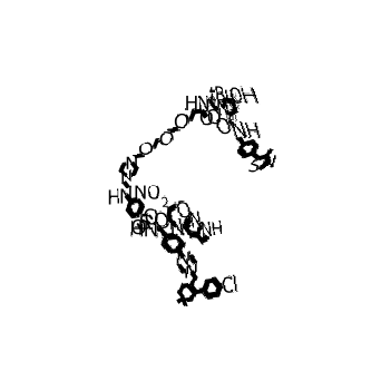 Cc1ncsc1-c1ccc(CNC(=O)[C@@H]2C[C@@H](O)CN2C(=O)[C@@H](NC(=O)CCOCCOCCOCCN2CCN(CCNc3ccc(S(=O)(=O)NC(=O)c4ccc(N5CCN(CC6=C(c7ccc(Cl)cc7)CC(C)(C)CC6)CC5)cc4N4CCCOc5nc6[nH]ccc6cc54)cc3[N+](=O)[O-])CC2)C(C)(C)C)cc1